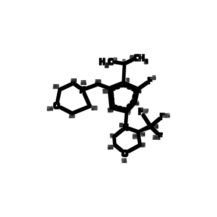 CC(C)c1c(F)cc(N2CCOC[C@@H]2C(F)(F)F)cc1CN1CCOCC1